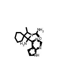 CC1N(C(N)=O)C(N)(c2ncnc3[nH]ccc23)C12CCCCC2